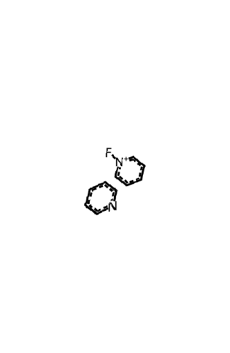 F[n+]1ccccc1.c1ccncc1